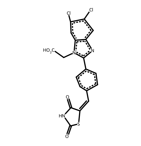 O=C(O)Cn1c(-c2ccc(C=C3SC(=O)NC3=O)cc2)nc2cc(Cl)c(Cl)cc21